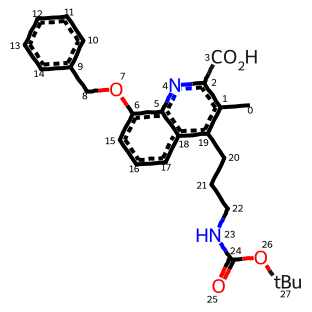 Cc1c(C(=O)O)nc2c(OCc3ccccc3)cccc2c1CCCNC(=O)OC(C)(C)C